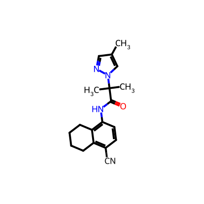 Cc1cnn(C(C)(C)C(=O)Nc2ccc(C#N)c3c2CCCC3)c1